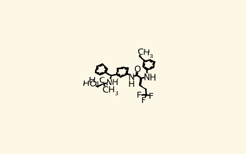 CCc1cccc(N/C(=C\CC(F)(F)F)C(=O)Nc2cccc(C(NC(C)(C)CO)c3ccccc3)c2)c1